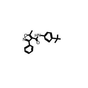 Cc1onc(-c2ccccc2)c1C(=O)Nc1ccc(C(C)(C)C)cc1